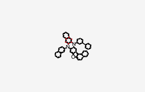 c1ccc(-c2cccc(N(c3ccc4ccccc4c3)c3cc4c(cc3N(c3ccccc3)c3ccc5ccccc5c3)oc3ccc5ccccc5c34)c2)cc1